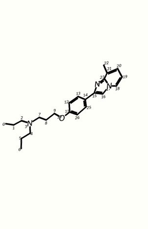 CCCN(CCC)CCCOc1ccc(-c2cn3cccc(C)c3n2)cc1